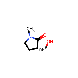 CCCO.CN1CCCC1=O